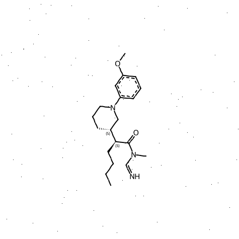 CCCC[C@H](C(=O)N(C)C=N)[C@@H]1CCCN(c2cccc(OC)c2)C1